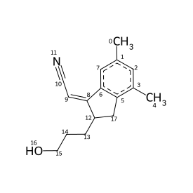 Cc1cc(C)c2c(c1)C(=CC#N)C(CCCO)C2